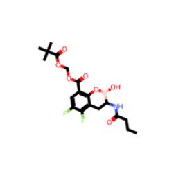 CCCC(=O)NC1Cc2c(F)c(F)cc(C(=O)OCOC(=O)C(C)(C)C)c2OB1O